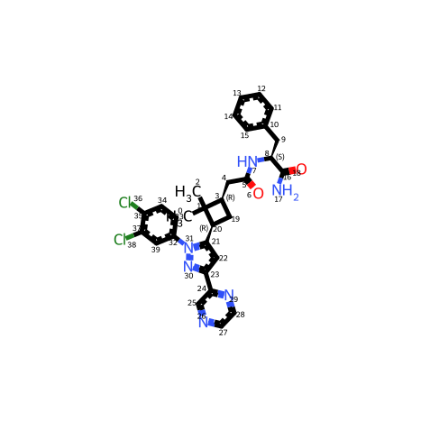 CC1(C)[C@@H](CC(=O)N[C@@H](Cc2ccccc2)C(N)=O)C[C@H]1c1cc(-c2cnccn2)nn1-c1ccc(Cl)c(Cl)c1